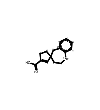 O=C(O)C1=CC2(CCNc3ccccc3C2)CC1